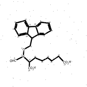 O=CN(OCC1c2ccccc2-c2ccccc21)C(CCCCCC(=O)O)C(=O)O